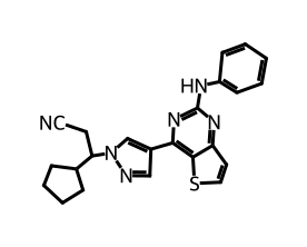 N#CCC(C1CCCC1)n1cc(-c2nc(Nc3ccccc3)nc3ccsc23)cn1